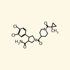 CC1(C(=O)N2CCC(C(=O)N3CC(C(N)=O)C(c4ccc(Cl)c(Cl)c4)C3)CC2)CC1